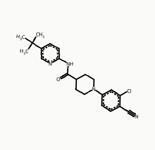 CC(C)(C)c1ccc(NC(=O)C2CCN(c3ccc(C#N)c(Cl)c3)CC2)nc1